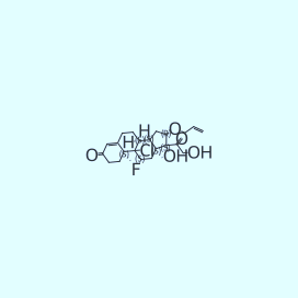 C=CCO[C@@H]1C[C@H]2[C@@H]3CCC4=CC(=O)CC[C@]4(C)C3(Cl)[C@@H](F)C[C@]2(C)[C@@]1(O)C(=O)CO